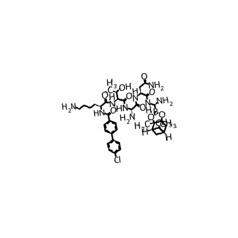 C[C@@H](O)[C@H](NC(=O)[C@H](CCCCN)NC(=O)c1ccc(-c2ccc(Cl)cc2)cc1)C(=O)N[C@@H](N)C(=O)N[C@@H](CC(N)=O)C(=O)N[C@@H](N)B1OC2C[C@@H]3C[C@@H](C3(C)C)[C@]2(C)O1